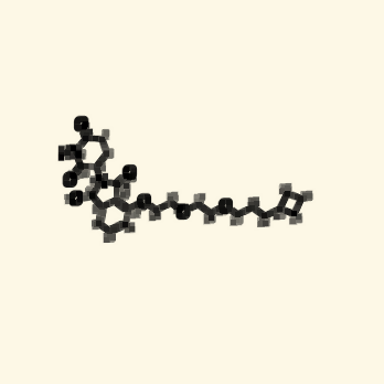 O=C1CCC(N2C(=O)c3cccc(OCCOCCOCCCC4CCC4)c3C2=O)C(=O)N1